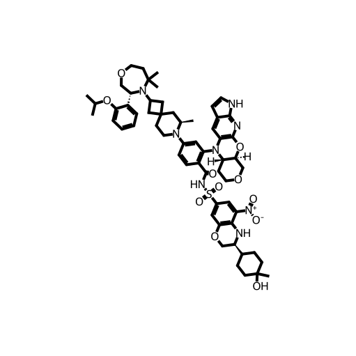 CC(C)Oc1ccccc1[C@@H]1COCCC(C)(C)N1C1CC2(CCN(c3ccc(C(=O)NS(=O)(=O)c4cc5c(c([N+](=O)[O-])c4)N[C@@H](C4CCC(C)(O)CC4)CO5)c(N4c5cc6cc[nH]c6nc5O[C@H]5COCC[C@@H]54)c3)[C@H](C)C2)C1